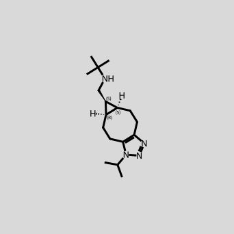 CC(C)n1nnc2c1CC[C@@H]1[C@H](CC2)[C@@H]1CNC(C)(C)C